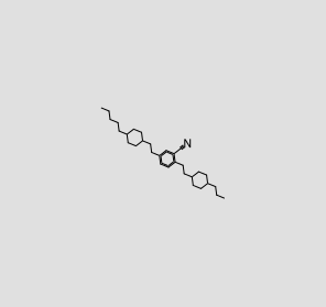 CCCCCC1CCC(CCc2ccc(CCC3CCC(CCC)CC3)c(C#N)c2)CC1